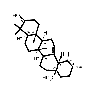 C[C@H]1[C@H](C)CC[C@]2(C(=O)O)CC[C@@H]3C(=CC[C@H]4[C@@]3(C)CC[C@H]3C(C)(C)[C@@H](O)CC[C@]43C)[C@H]12